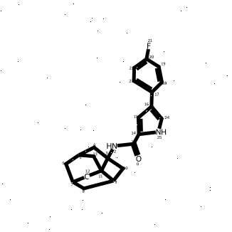 O=C(NC12CC3CC4CC(C1)C2(C4)C3)c1cc(-c2ccc(F)cc2)c[nH]1